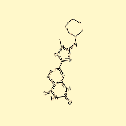 Cn1nc(-c2ccc3c(=O)[nH]c(=O)[nH]c3c2)s/c1=N/C1CCCCC1